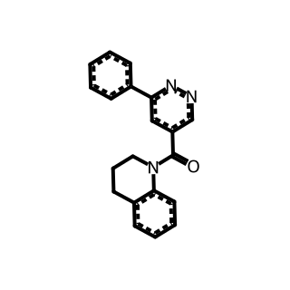 O=C(c1cnnc(-c2ccccc2)c1)N1CCCc2ccccc21